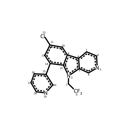 FC(F)(F)Cn1c2cnccc2c2cc(Cl)cc(-c3cccnc3)c21